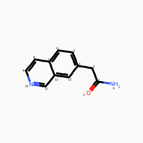 NC(=O)Cc1ccc2ccncc2c1